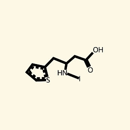 O=C(O)CC(Cc1cccs1)NI